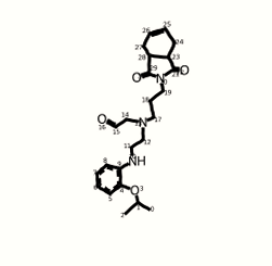 CC(C)Oc1ccccc1NCCN(CC=O)CCCN1C(=O)C2CC=CCC2C1=O